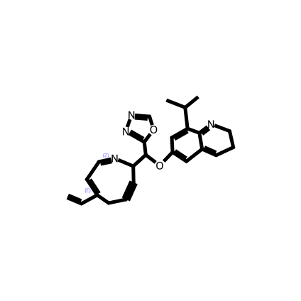 C=C/C1=C/C=N\C(C(Oc2cc(C(C)C)c3c(c2)=CCCN=3)c2nnco2)C#CC1